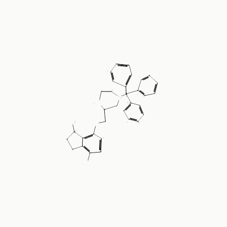 OC1CCc2c(F)ccc(OCC3CN(C(c4ccccc4)(c4ccccc4)c4ccccc4)CCO3)c21